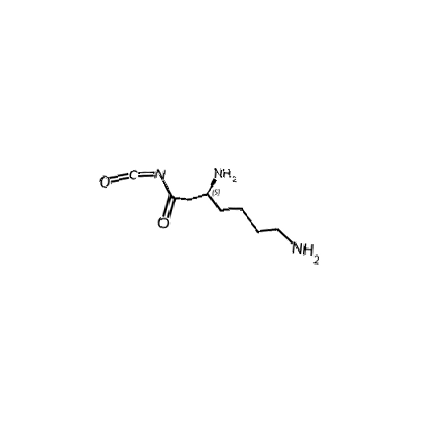 NCCCC[C@H](N)C(=O)N=C=O